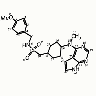 COc1ccc(CNS(=O)(=O)CC2CCC(N(C)c3ncnc4[nH]ccc34)CC2)cc1